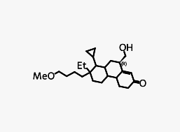 CCC1(CCCCOC)CCC2C3CCC(=O)C=C3[C@H](CO)CC2C1C1CC1